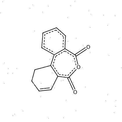 O=c1oc(=O)c2ccccc2c2c1C=CCC2